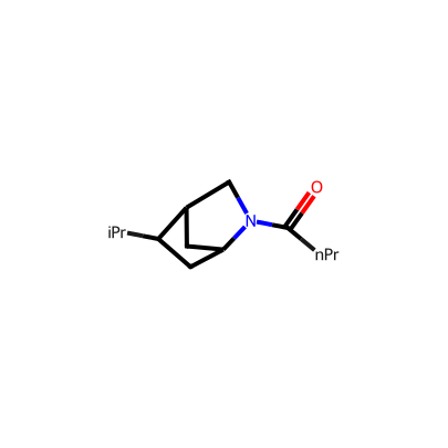 CCCC(=O)N1CC2CC1CC2C(C)C